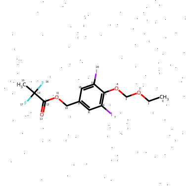 CCOCOc1c(I)cc(COC(=O)C(C)(F)F)cc1I